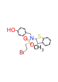 CC1c2ccccc2SC1N(Cc1ccc(O)cc1)S(=O)(=O)CCBr